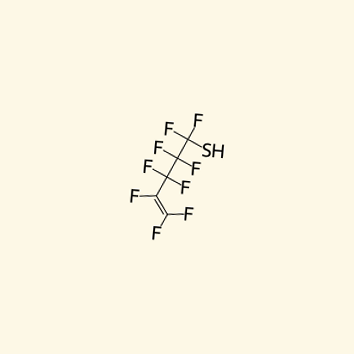 FC(F)=C(F)C(F)(F)C(F)(F)C(F)(F)S